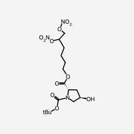 CC(C)(C)OC(=O)N1C[C@H](O)C[C@H]1C(=O)OCCCCC(CO[N+](=O)[O-])O[N+](=O)[O-]